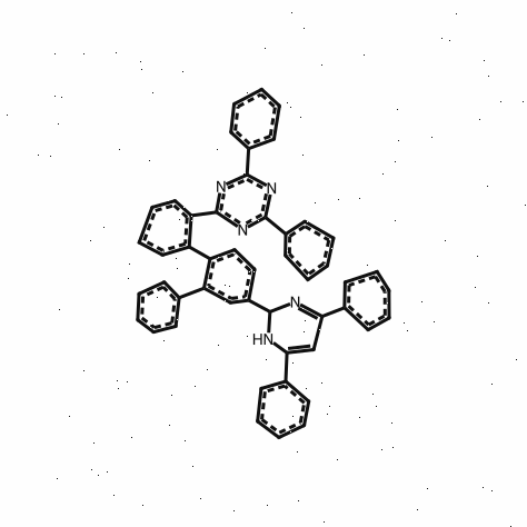 C1=C(c2ccccc2)NC(c2ccc(-c3ccccc3-c3nc(-c4ccccc4)nc(-c4ccccc4)n3)c(-c3ccccc3)c2)N=C1c1ccccc1